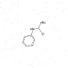 CCCCC(Cl)Nc1ccccc1